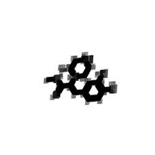 COC(=O)C(Cc1ccc(Cl)c(Cl)c1)N1CCNC[C@H]1C